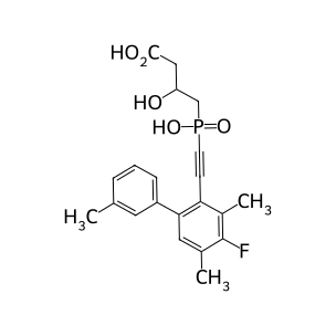 Cc1cccc(-c2cc(C)c(F)c(C)c2C#CP(=O)(O)CC(O)CC(=O)O)c1